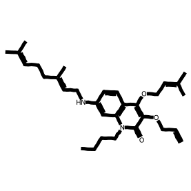 C=CCOc1c(OCC=C(C)C)c2ccc(NC/C=C(\C)CCC=C(C)C)cc2n(CCCC)c1=O